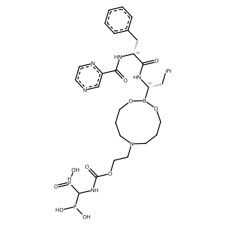 CC(C)C[C@@H](NC(=O)[C@@H](Cc1ccccc1)NC(=O)c1cnccn1)B1OCCCN(CCOC(=O)NC(P(O)O)[PH](=O)O)CCCO1